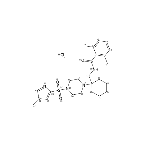 Cc1cccc(C)c1C(=O)NCC1(N2CCN(S(=O)(=O)c3cn(C)cn3)CC2)CCCCC1.Cl